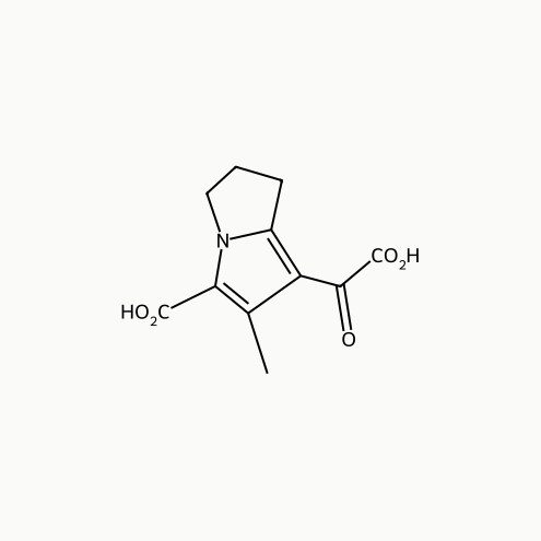 Cc1c(C(=O)C(=O)O)c2n(c1C(=O)O)CCC2